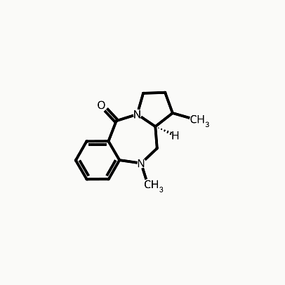 CC1CCN2C(=O)c3ccccc3N(C)C[C@H]12